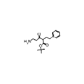 CC(C)(C)OC(=O)C(CCc1ccccc1)C(=O)CCN